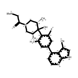 CNCC(=O)N1C[C@@H](C)C(O)(c2c(C)cc(-c3ccnc4[nH]cc(C#N)c34)cc2F)[C@@H](C)C1